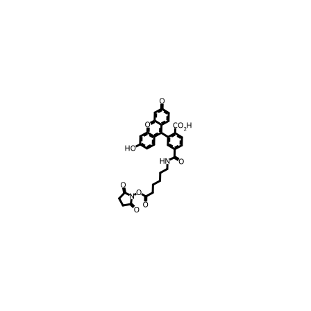 O=C(CCCCCNC(=O)c1ccc(C(=O)O)c(-c2c3ccc(=O)cc-3oc3cc(O)ccc23)c1)ON1C(=O)CCC1=O